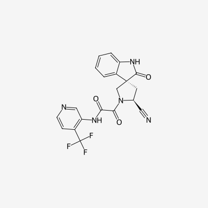 N#C[C@@H]1C[C@@]2(CN1C(=O)C(=O)Nc1cnccc1C(F)(F)F)C(=O)Nc1ccccc12